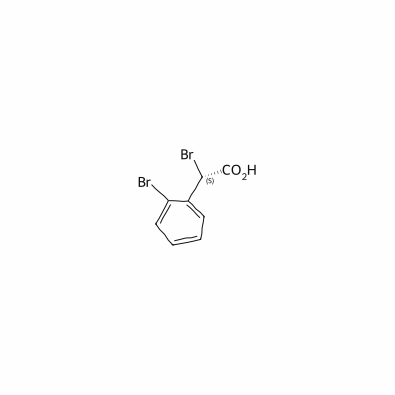 O=C(O)[C@@H](Br)c1ccccc1Br